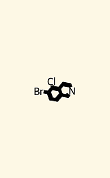 Clc1c(Br)ccc2cnccc12